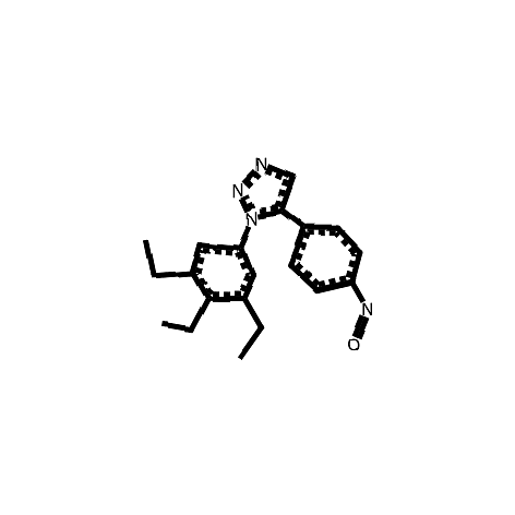 CCc1cc(-n2nncc2-c2ccc(N=O)cc2)cc(CC)c1CC